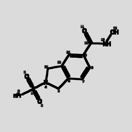 CCCS(=O)(=O)N1Cc2ccc(C(=O)NO)cc2C1